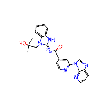 CC(C)(O)Cn1/c(=N/C(=O)c2ccnc(-n3cnc4cccnc43)c2)[nH]c2ccccc21